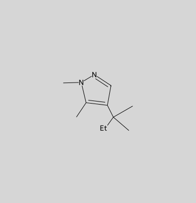 CCC(C)(C)c1cnn(C)c1C